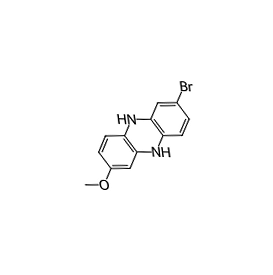 COc1ccc2c(c1)Nc1ccc(Br)cc1N2